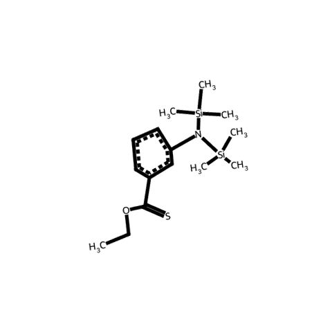 CCOC(=S)c1cccc(N([Si](C)(C)C)[Si](C)(C)C)c1